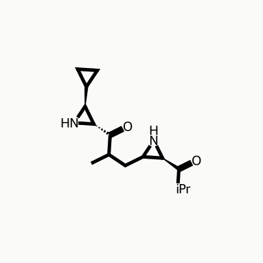 CC(C)C(=O)[C@@H]1NC1CC(C)C(=O)[C@@H]1N[C@H]1C1CC1